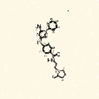 CC1CCCN1CCNC(=O)c1ccc(Nc2nc(N)n(-c3ccccn3)n2)cc1